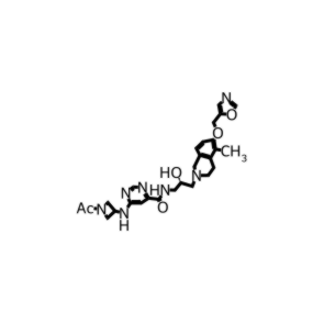 CC(=O)N1CC(Nc2cc(C(=O)NC[C@H](O)CN3CCc4c(ccc(OCc5cnco5)c4C)C3)ncn2)C1